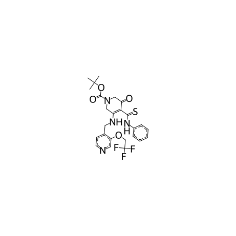 CC(C)(C)OC(=O)N1CC(=O)C(C(=S)Nc2ccccc2)=C(NCc2ccncc2OCC(F)(F)F)C1